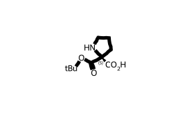 CC(C)(C)OC(=O)[C@@]1(C(=O)O)CCCN1